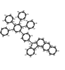 c1ccc(-c2cc(-c3ccc(-n4c5ccccc5c5c6cc7ccccc7cc6ccc54)cc3)c(-c3ccccc3)c(-c3ccccc3)c2-c2ccccc2)cc1